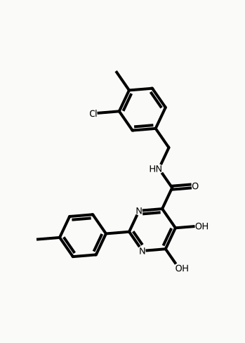 Cc1ccc(-c2nc(O)c(O)c(C(=O)NCc3ccc(C)c(Cl)c3)n2)cc1